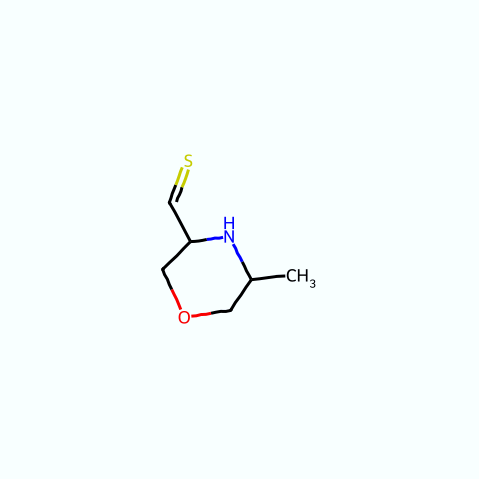 CC1COCC(C=S)N1